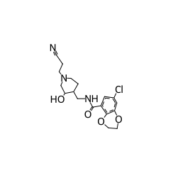 N#CCCN1CCC(CNC(=O)c2cc(Cl)cc3c2OCCO3)C(O)C1